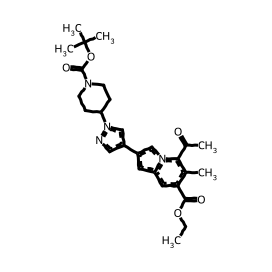 CCOC(=O)c1cc2cc(-c3cnn(C4CCN(C(=O)OC(C)(C)C)CC4)c3)cn2c(C(C)=O)c1C